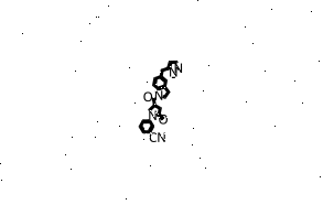 Cn1nccc1Cc1ccc2c(c1)CCN2C(=O)C1CC(=O)N(c2cccc(C#N)c2)C1